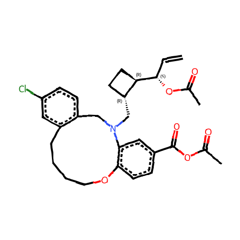 C=C[C@H](OC(C)=O)[C@@H]1CC[C@H]1CN1Cc2ccc(Cl)cc2CCCCOc2ccc(C(=O)OC(C)=O)cc21